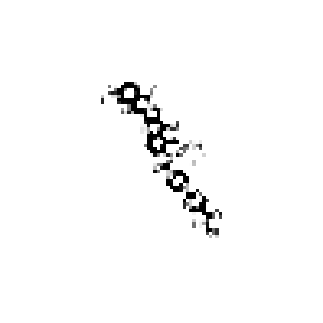 CCc1c2c(nc3ccc(OC(=O)N4CCN(c5ncc(C(=O)NO)cn5)CC4)c(CN(C)C)c13)-c1cc3c(c(=O)n1C2)CCC(=O)[C@]3(O)CC